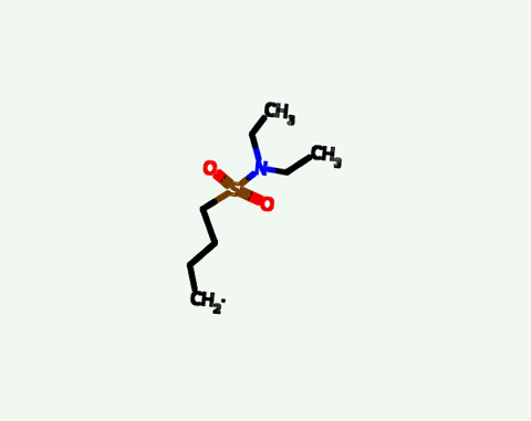 [CH2]CCCS(=O)(=O)N(CC)CC